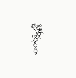 CCc1cc(N2CCC(N3CCN(C)CC3)CC2)c(C)cc1Nc1ncc(C(C)C)c(Nc2ccc3nccnc3c2P(C)(C)=O)n1